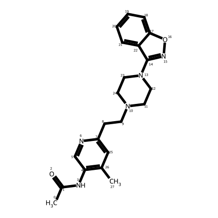 CC(=O)Nc1cnc(CCN2CCN(c3noc4ccccc34)CC2)cc1C